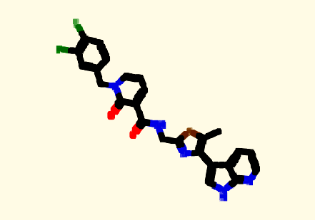 Cc1sc(CNC(=O)c2cccn(Cc3ccc(F)c(F)c3)c2=O)nc1-c1c[nH]c2ncccc12